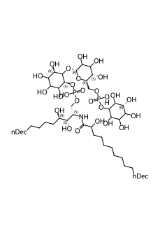 CCCCCCCCCCCCCCCCCCC(O)C(=O)N[C@@H](COP(=O)(O)O[C@H]1C(O)C(O)C(O)[C@@H](O)C1O[C@H]1O[C@H](COP(=O)(O)OC2C(O)C(O)C(O)[C@@H](O)C2O)[C@@H](O)C(O)C1O)[C@H](O)[C@H](O)CCCCCCCCCCCCCC